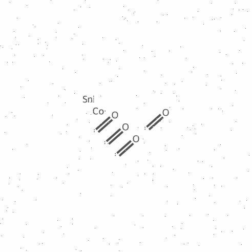 [C]=O.[C]=O.[C]=O.[C]=O.[Co].[Sn]